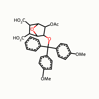 COc1ccc(C(OC2C(OC(C)=O)C3OC2C(C(=O)O)C3C(=O)O)(c2ccccc2)c2ccc(OC)cc2)cc1